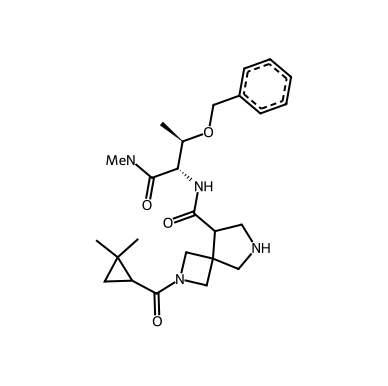 CNC(=O)[C@@H](NC(=O)C1CNCC12CN(C(=O)C1CC1(C)C)C2)[C@@H](C)OCc1ccccc1